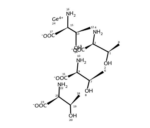 C[C@@H](O)[C@H](N)C(=O)[O-].C[C@@H](O)[C@H](N)C(=O)[O-].C[C@@H](O)[C@H](N)C(=O)[O-].C[C@@H](O)[C@H](N)C(=O)[O-].[Ge+4]